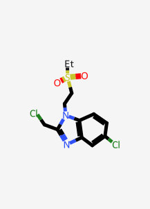 CCS(=O)(=O)CCn1c(CCl)nc2cc(Cl)ccc21